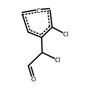 O=CC(Cl)c1ccccc1Cl